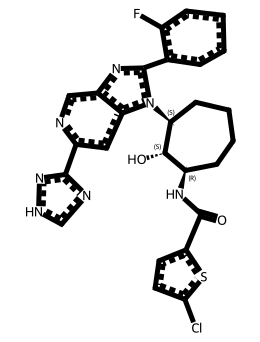 O=C(N[C@@H]1CCCC[C@H](n2c(-c3ccccc3F)nc3cnc(-c4nc[nH]n4)cc32)[C@H]1O)c1ccc(Cl)s1